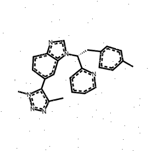 Cc1ccc(C[C@H](c2ccccn2)n2cnc3ccc(-c4c(C)nnn4C)cc32)cc1